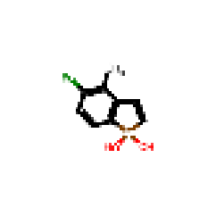 Cc1c(Br)ccc2c1C=CS2(O)O